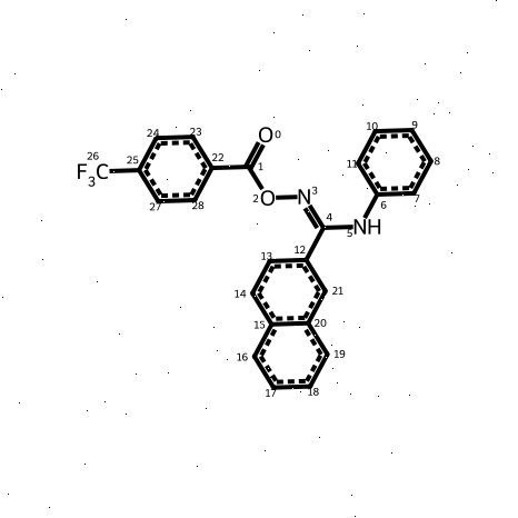 O=C(O/N=C(/Nc1ccccc1)c1ccc2ccccc2c1)c1ccc(C(F)(F)F)cc1